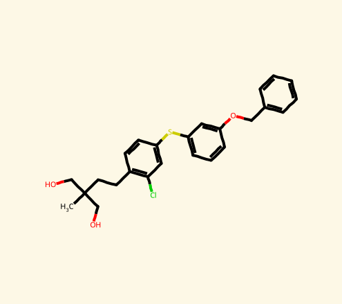 CC(CO)(CO)CCc1ccc(Sc2cccc(OCc3ccccc3)c2)cc1Cl